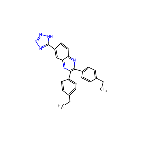 CCc1ccc(-c2nc3ccc(-c4nnn[nH]4)cc3nc2-c2ccc(CC)cc2)cc1